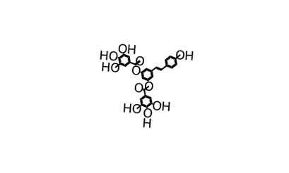 O=C(Oc1cc(/C=C/c2ccc(O)cc2)cc(OC(=O)c2cc(O)c(O)c(O)c2)c1)c1cc(O)c(O)c(O)c1